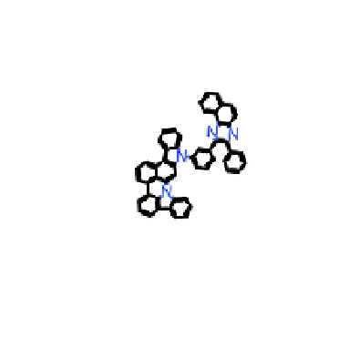 c1ccc(-c2nc3ccc4ccccc4c3nc2-c2cccc(-n3c4ccccc4c4c5cccc6c7cccc8c9ccccc9n(c(cc43)c65)c78)c2)cc1